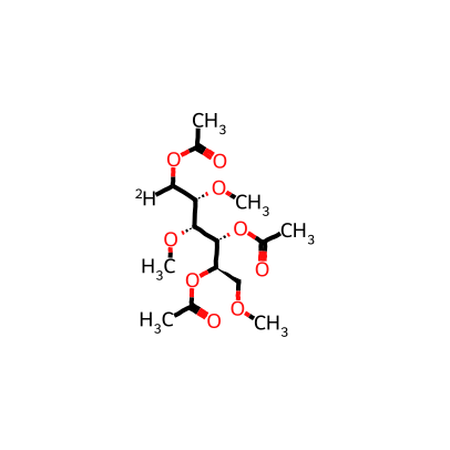 [2H]C(OC(C)=O)[C@H](OC)[C@@H](OC)[C@H](OC(C)=O)[C@@H](COC)OC(C)=O